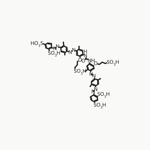 Cc1cc(N=Nc2ccc(S(=O)(=O)O)cc2S(=O)(=O)O)c(C)cc1N=Nc1cc(OCCCS(=O)(=O)O)c(NC(=O)Nc2cc(C)c(N=Nc3cc(C)c(N=Nc4ccc(S(=O)(=O)O)cc4S(=O)(=O)O)cc3C)cc2OCCCS(=O)(=O)O)cc1C